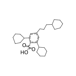 O=S(=O)(O)c1c(C2CCCCC2)cc(CCCC2CCCCC2)cc1C1CCCCC1